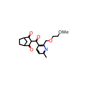 COCCOCc1nc(C)ccc1C(=O)C1C(=O)C2CCC(C2)C1=O